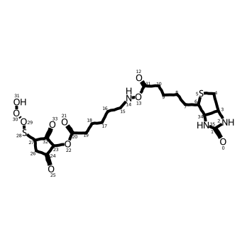 O=C1NC2CSC(CCCCC(=O)ONCCCCCC(=O)OC3C(=O)CC(SOOO)C3=O)C2N1